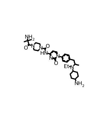 CCN(C(C)Cc1ccc(-n2ccc(NC(=O)N3CCN(C(=O)C(C)(C)N)CC3)nc2=O)cc1)C1CCC(N)CC1